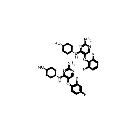 Nc1ncc(Oc2c(F)cccc2F)c(N[C@H]2CC[C@H](O)CC2)n1.Nc1ncc(Oc2ccc(F)cc2F)c(N[C@H]2CC[C@H](O)CC2)n1